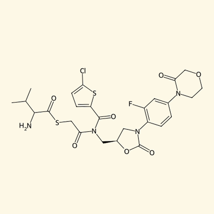 CC(C)C(N)C(=O)SCC(=O)N(C[C@H]1CN(c2ccc(N3CCOCC3=O)cc2F)C(=O)O1)C(=O)c1ccc(Cl)s1